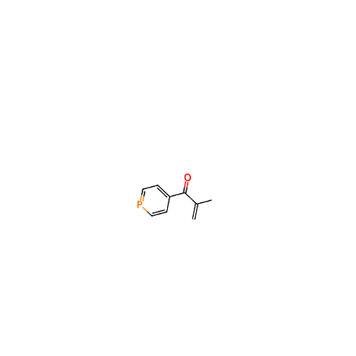 C=C(C)C(=O)c1ccpcc1